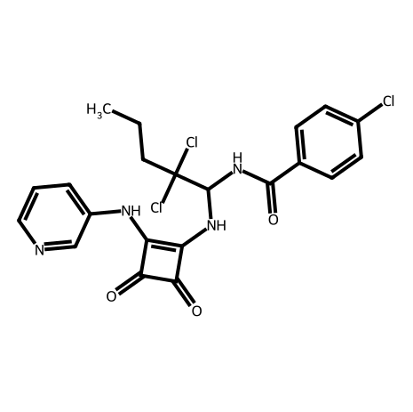 CCCC(Cl)(Cl)C(NC(=O)c1ccc(Cl)cc1)Nc1c(Nc2cccnc2)c(=O)c1=O